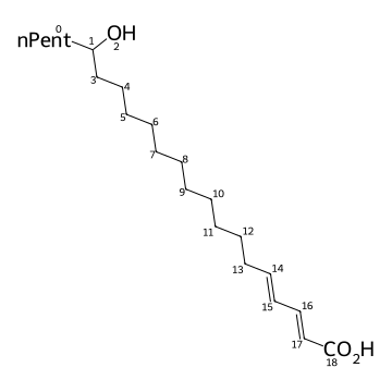 CCCCCC(O)CCCCCCCCCCCC=CC=CC(=O)O